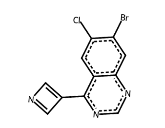 Clc1cc2c(C3=CN=C3)ncnc2cc1Br